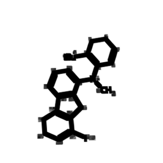 CN(C1=C(C(C)(C)C)CCC=C1)c1cccc2c1CC1=C2CCC=C1F